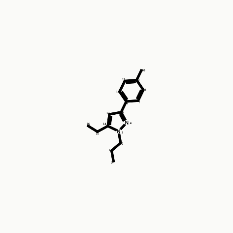 CCCn1nc(-c2ccc(C)cc2)cc1CC